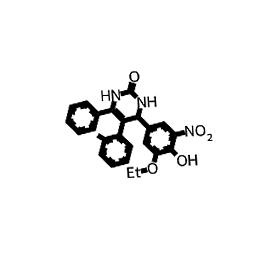 CCOc1cc(C2NC(=O)NC(c3ccccc3)=C2c2ccccc2C)cc([N+](=O)[O-])c1O